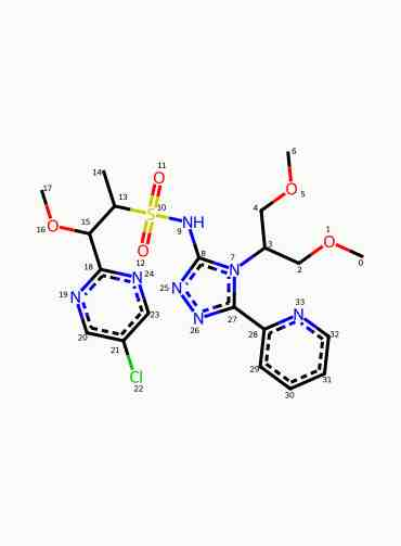 COCC(COC)n1c(NS(=O)(=O)C(C)C(OC)c2ncc(Cl)cn2)nnc1-c1ccccn1